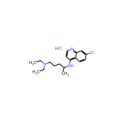 CCN(CC)CCCC(C)Nc1ccnc2cc(Cl)ccc12.Cl